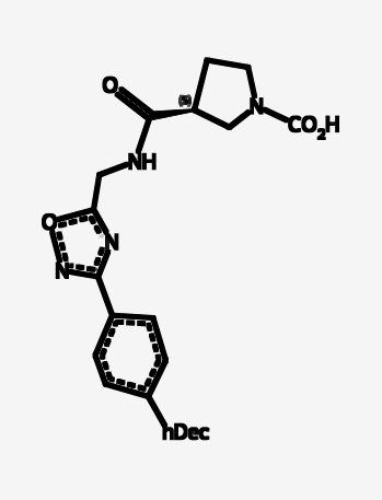 CCCCCCCCCCc1ccc(-c2noc(CNC(=O)[C@H]3CCN(C(=O)O)C3)n2)cc1